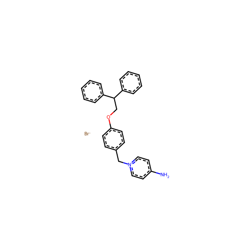 Nc1cc[n+](Cc2ccc(OCC(c3ccccc3)c3ccccc3)cc2)cc1.[Br-]